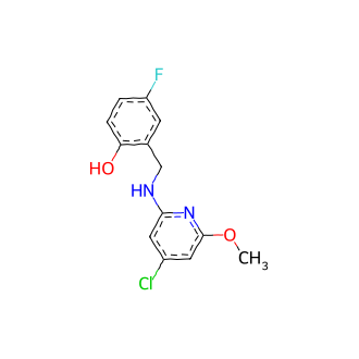 COc1cc(Cl)cc(NCc2cc(F)ccc2O)n1